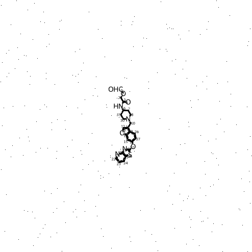 O=COCC(=O)NC1CCN(Cc2coc3cc(Oc4nc5ncccc5s4)ccc23)CC1